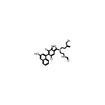 C=C(CBr)CCN(CCNC=O)c1snc2c(F)c(-c3cc(O)cc4ccccc34)c(Cl)cc12